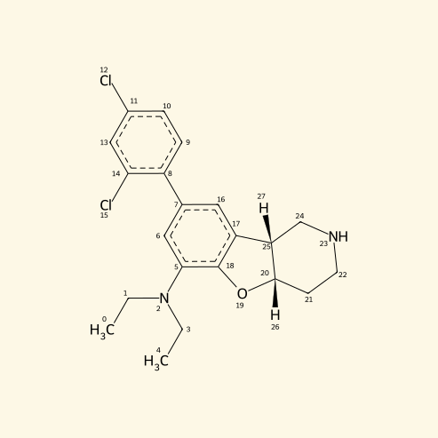 CCN(CC)c1cc(-c2ccc(Cl)cc2Cl)cc2c1O[C@H]1CCNC[C@@H]21